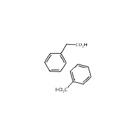 O=C(O)Cc1ccccc1.O=C(O)c1ccccc1